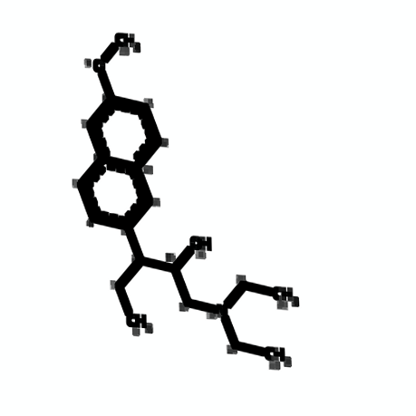 CCC(c1ccc2cc(OC)ccc2c1)C(O)CN(CC)CC